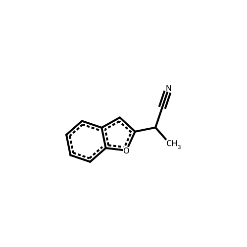 CC(C#N)c1cc2ccccc2o1